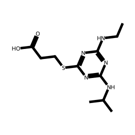 CCNc1nc(NC(C)C)nc(SCCC(=O)O)n1